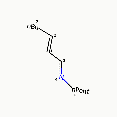 CCCCC=CC=NCCCCC